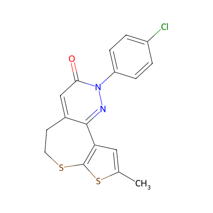 Cc1cc2c(s1)SCCc1cc(=O)n(-c3ccc(Cl)cc3)nc1-2